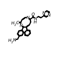 C=C1/C=C\N=C(\C(=O)NCCc2cnccn2)C/C=C(c2ccccc2)\C(c2ccc(CN)cc2)=N/1